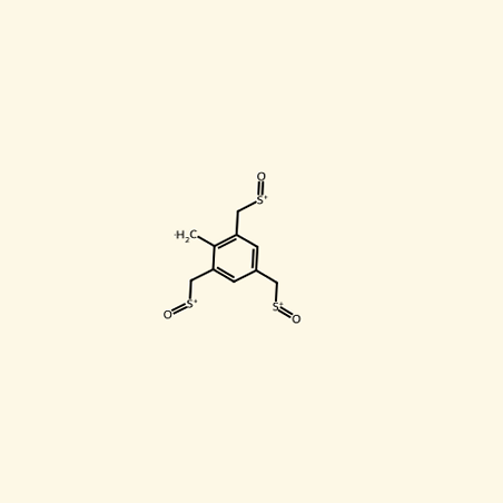 [CH2]c1c(C[S+]=O)cc(C[S+]=O)cc1C[S+]=O